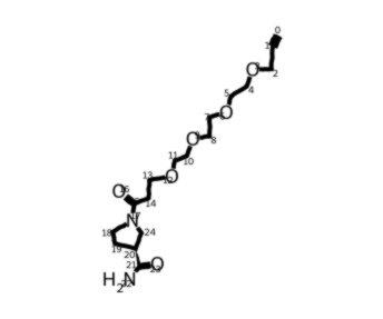 C#CCOCCOCCOCCOCCC(=O)N1CC[C@H](C(N)=O)C1